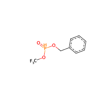 O=[PH](OCc1ccccc1)OC(F)(F)F